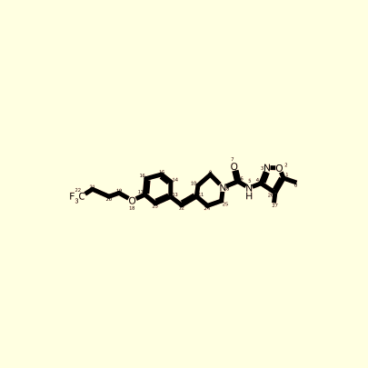 Cc1onc(NC(=O)N2CCC(=Cc3cccc(OCCCC(F)(F)F)c3)CC2)c1C